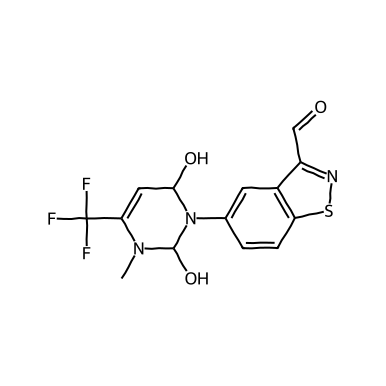 CN1C(C(F)(F)F)=CC(O)N(c2ccc3snc(C=O)c3c2)C1O